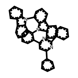 c1ccc(-c2cc(-c3ccccc3-n3c4ccccc4c4cccc(-n5c6ccccc6c6ccccc65)c43)nc(-c3ccccc3)n2)cc1